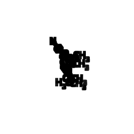 COc1ccc(OC(CCCN2CC3CC(C2)CN(CC(=O)C(C)(C)C)C3)c2ccc(C#N)cc2)cc1OC